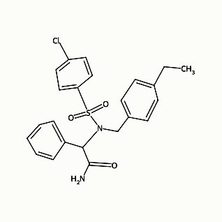 CCc1ccc(CN(C(C(N)=O)c2ccccc2)S(=O)(=O)c2ccc(Cl)cc2)cc1